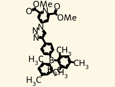 COC(=O)c1cc(-n2cc(-c3ccc(B(c4c(C)cc(C)cc4C)c4c(C)cc(C)cc4C)cc3)nn2)cc(C(=O)OC)n1